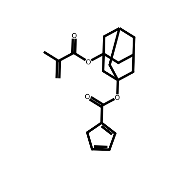 C=C(C)C(=O)OC12CC3CC(C1)CC(OC(=O)C1=CC=CC1)(C3)C2